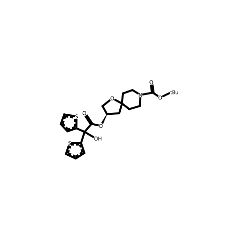 CC(C)(C)OC(=O)N1CCC2(CC1)C[C@@H](OC(=O)C(O)(c1cccs1)c1cccs1)CO2